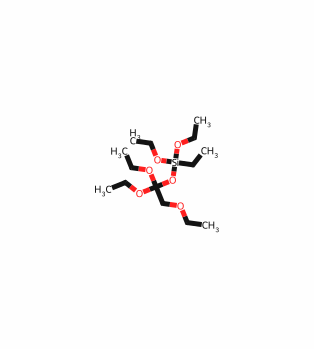 CCOCC(OCC)(OCC)O[Si](CC)(OCC)OCC